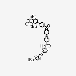 CCCC(c1ccc(-c2ccc(C(=O)N3CCC(N4CCC(C(=O)Nc5ncc(SCc6ncc(C(C)(C)C)o6)s5)CC4)CC3)cc2)cc1)N(C)C(=O)OC(C)(C)C